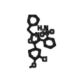 COc1ccc(-c2oc(Cc3ccccc3)nc2-c2ccccc2S(N)(=O)=O)cc1Cl